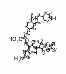 C[n+]1c2ccc(OCC(O/N=C(\C(=O)N[C@@H]3C(=O)N(OS(=O)(=O)[O-])C3(C)C)c3csc(N)n3)C(=O)O)cc2cn1CC1CCNCC1